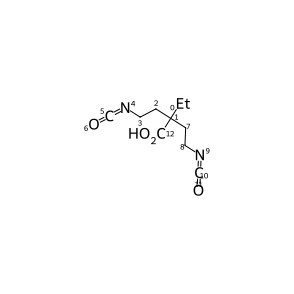 CCC(CCN=C=O)(CCN=C=O)C(=O)O